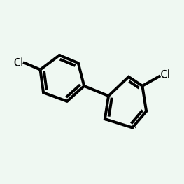 Clc1ccc(-c2c[c]cc(Cl)c2)cc1